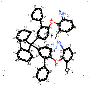 Nc1cccc(C(F)(F)F)c1Oc1ccc(C2(c3ccc(Oc4c(N)cccc4C(F)(F)F)c(-c4ccccc4)c3)c3ccccc3-c3ccccc32)cc1-c1ccccc1